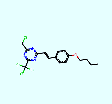 CCCCOc1ccc(C=Cc2nc(CCl)nc(C(Cl)(Cl)Cl)n2)cc1